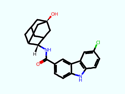 O=C(N[C@H]1C2CC3CC1C[C@](O)(C3)C2)c1ccc2[nH]c3ccc(Cl)cc3c2c1